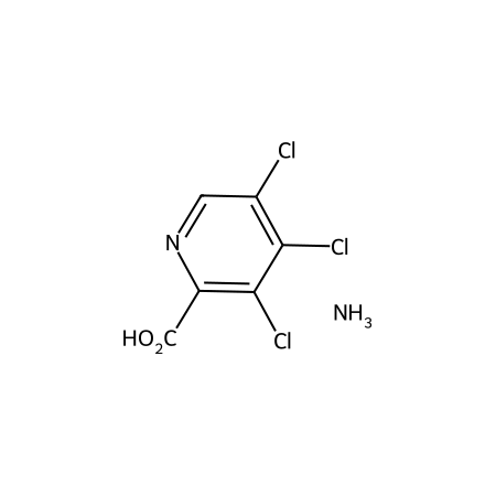 N.O=C(O)c1ncc(Cl)c(Cl)c1Cl